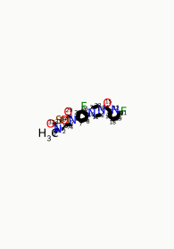 CN(C[C@@H]1CN(c2ccc(N3CCN(C(=O)c4cccc(F)n4)CC3)c(F)c2)C(=O)O1)C(=O)S